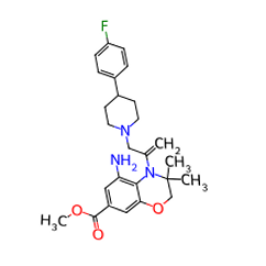 C=C(CN1CCC(c2ccc(F)cc2)CC1)N1c2c(N)cc(C(=O)OC)cc2OCC1(C)C